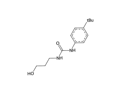 CC(C)(C)c1ccc(NC(=O)NCCCO)cc1